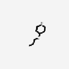 [CH2]CCOC1CCNCC1